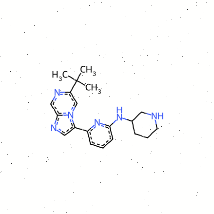 CC(C)(C)c1cn2c(-c3cccc(NC4CCCNC4)n3)cnc2cn1